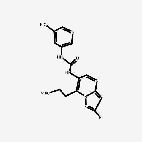 COCCc1c(NC(=O)Nc2cncc(C(F)(F)F)c2)cnc2cc(F)nn12